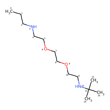 CCCNCCOCCOCCNC(C)(C)C